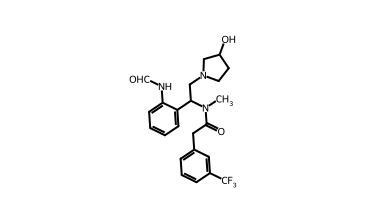 CN(C(=O)Cc1cccc(C(F)(F)F)c1)C(CN1CCC(O)C1)c1ccccc1NC=O